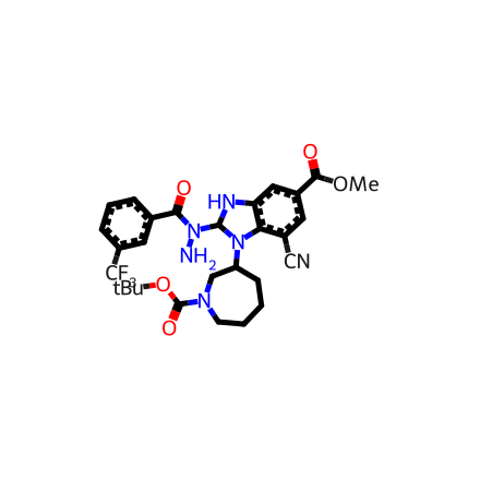 COC(=O)c1cc(C#N)c2c(c1)NC(N(N)C(=O)c1cccc(C(F)(F)F)c1)N2C1CCCCN(C(=O)OC(C)(C)C)C1